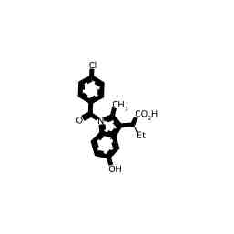 CC[C@@H](C(=O)O)c1c(C)n(C(=O)c2ccc(Cl)cc2)c2ccc(O)cc12